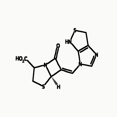 O=C(O)C1CS[C@@H]2C(=Cn3cnc4c3NSC4)C(=O)N12